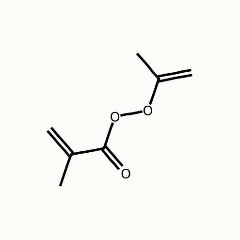 C=C(C)OOC(=O)C(=C)C